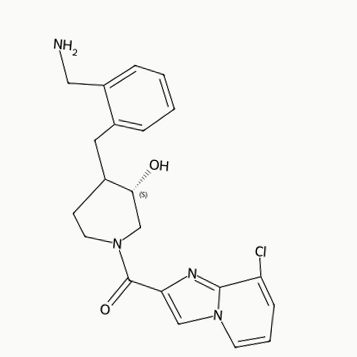 NCc1ccccc1CC1CCN(C(=O)c2cn3cccc(Cl)c3n2)C[C@H]1O